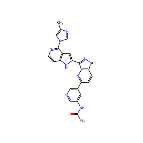 Cc1cn(-c2nccc3[nH]c(-c4n[nH]c5ccc(-c6cncc(NC(=O)C(C)(C)C)c6)nc45)cc23)cn1